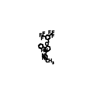 Cn1cc(C2CC3(c4ccccc4)NC2CCC3OCc2cc(C(F)(F)F)cc(C(F)(F)F)c2)nn1